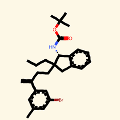 C=C(CCC1(CCC)Cc2ccccc2[C@H]1NC(=O)OC(C)(C)C)c1cc(C)cc(Br)c1